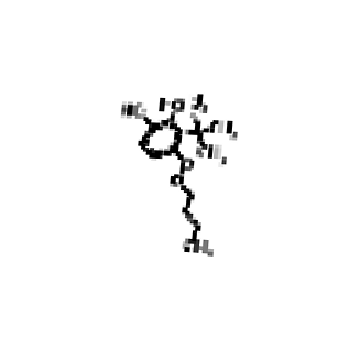 CCCCOOc1ccc(O)c(O)c1C(C)(C)C